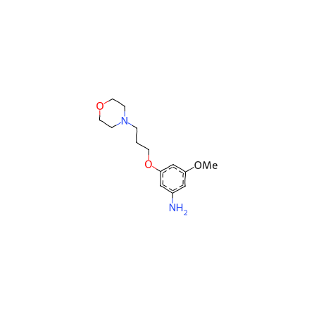 COc1cc(N)cc(OCCCN2CCOCC2)c1